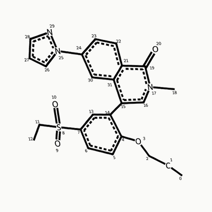 CCCOc1ccc(S(=O)(=O)CC)cc1-c1cn(C)c(=O)c2ccc(-n3cccn3)cc12